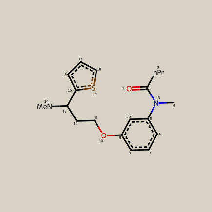 CCCC(=O)N(C)c1cccc(OCCC(NC)c2cccs2)c1